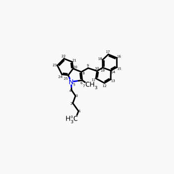 CCCCCn1c(C)c(Cc2cccc3ccccc23)c2ccccc21